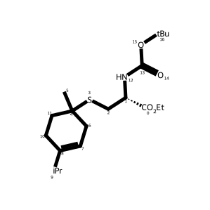 CCOC(=O)[C@H](CSC1(C)CC=C(C(C)C)CC1)NC(=O)OC(C)(C)C